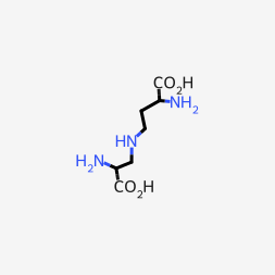 NC(CCNCC(N)C(=O)O)C(=O)O